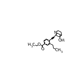 CCCc1cc(C(=O)OCC)ccc1C#CC1C(O)C2CCN1CC2